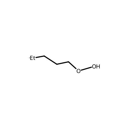 C[CH]CCCOO